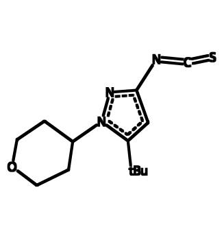 CC(C)(C)c1cc(N=C=S)nn1C1CCOCC1